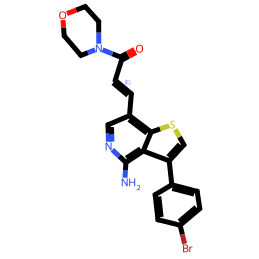 Nc1ncc(/C=C/C(=O)N2CCOCC2)c2scc(-c3ccc(Br)cc3)c12